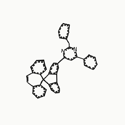 C1=Cc2ccccc2C2(c3ccccc31)c1ccccc1-c1cc(-c3cc(-c4ccccc4)nc(-c4ccccc4)n3)ccc12